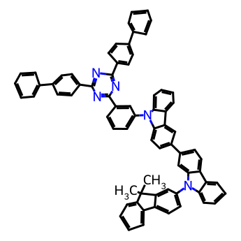 CC1(C)c2ccccc2-c2ccc(-n3c4ccccc4c4ccc(-c5ccc6c(c5)c5ccccc5n6-c5cccc(-c6nc(-c7ccc(-c8ccccc8)cc7)nc(-c7ccc(-c8ccccc8)cc7)n6)c5)cc43)cc21